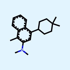 Cc1c(N(C)C)cc(C2CCC(C)(C)CC2)c2ccccc12